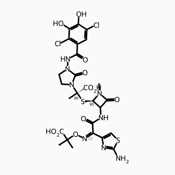 CN1C(=O)C(NC(=O)/C(=N\OC(C)(C)C(=O)O)c2csc(N)n2)[C@H]1S[C@](C)(C(=O)O)N1CCN(NC(=O)c2cc(Cl)c(O)c(O)c2Cl)C1=O